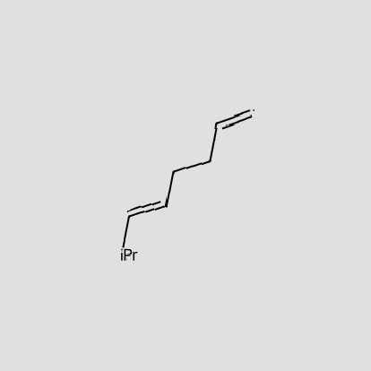 [CH]=CCCC=CC(C)C